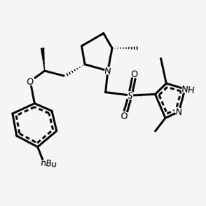 CCCCc1ccc(O[C@@H](C)C[C@@H]2CC[C@H](C)N2CS(=O)(=O)c2c(C)n[nH]c2C)cc1